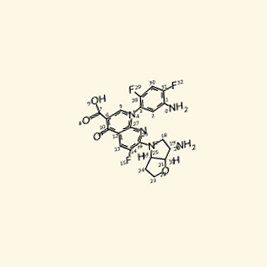 Nc1cc(-n2cc(C(=O)O)c(=O)c3cc(F)c(N4C[C@H](N)[C@H]5OCC[C@H]54)nc32)c(F)cc1F